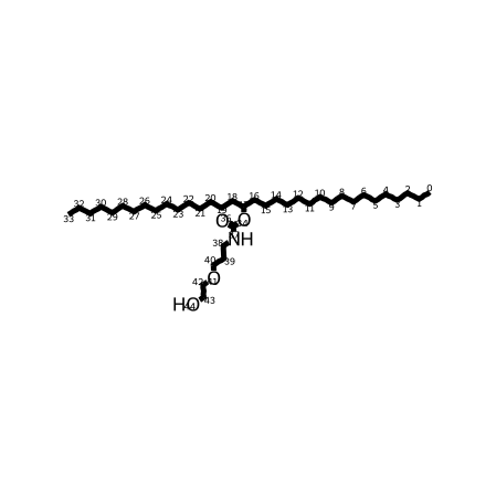 CCCCCCCCCCCCCCCCCC(CCCCCCCCCCCCCCCC)OC(=O)NCCCOCCO